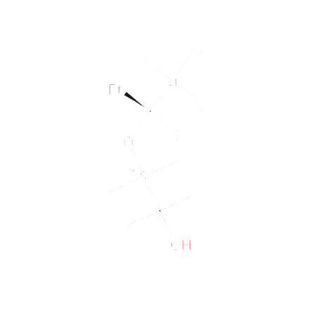 CC[C@@](C)(O[Si](C)(C)C(C)(C)O)[Si](C)(C)C